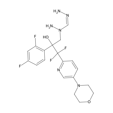 N/N=C\N(N)CC(O)(c1ccc(F)cc1F)C(F)(F)c1ccc(N2CCOCC2)cn1